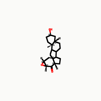 C[C@]12CC[C@@H](O)C[C@@H]1CCC1C3CC[C@@H]4C(=O)[C@@H]5O[C@@H]5C[C@]34CCC12